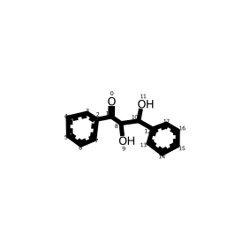 O=C(c1ccccc1)C(O)C(O)c1ccccc1